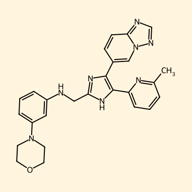 Cc1cccc(-c2[nH]c(CNc3cccc(N4CCOCC4)c3)nc2-c2ccc3ncnn3c2)n1